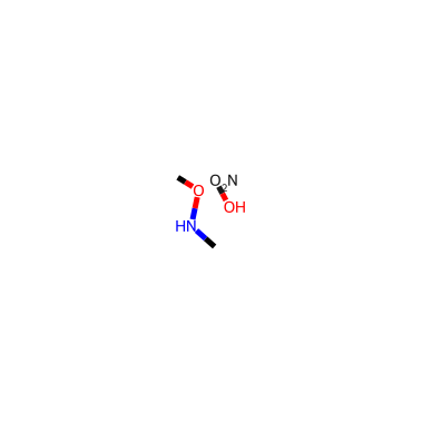 CNOC.O=[N+]([O-])O